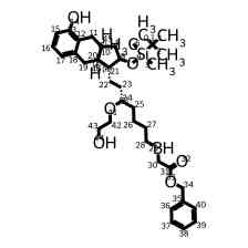 CC(C)(C)[Si](C)(C)OC1C[C@@H]2Cc3c(O)cccc3C[C@@H]2[C@H]1CC[C@H](CCCCBCC(=O)OCc1ccccc1)OCCO